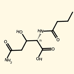 CCCC(=O)N[C@H](C(=O)O)C(O)CC(N)=O